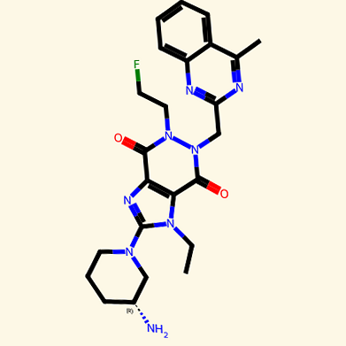 CCn1c(N2CCC[C@@H](N)C2)nc2c(=O)n(CCF)n(Cc3nc(C)c4ccccc4n3)c(=O)c21